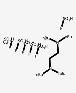 CCCCN(CCCC)CCN(CCCC)CCCC.O=S(=O)(O)F.O=S(=O)(O)F.O=S(=O)(O)F.O=S(=O)(O)F.O=S(=O)(O)F.O=S(=O)(O)F.[Cu]